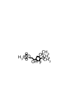 COc1c(F)cc([C@@H](O)CCOS(C)(=O)=O)cc1OC(C)C